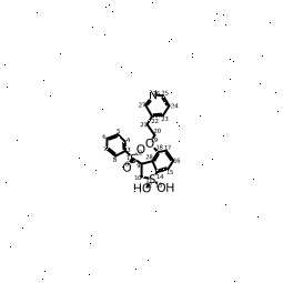 O=S(=O)(c1ccccc1)C1CS(O)(O)c2cccc(OCCc3cccnc3)c21